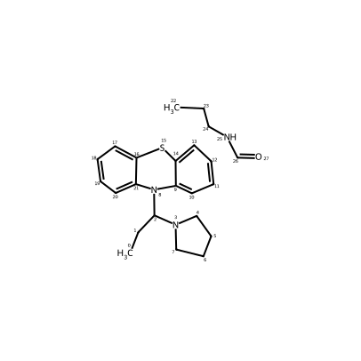 CCC(N1CCCC1)N1c2ccccc2Sc2ccccc21.CCCNC=O